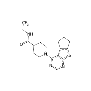 O=C(NCC(F)(F)F)C1CCN(c2ncnc3sc4c(c23)CCC4)CC1